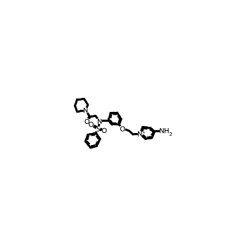 Nc1cc[n+](CCOc2cccc(N(CC(=O)N3CCCCC3)S(=O)(=O)c3ccccc3)c2)cc1